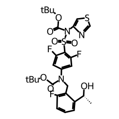 C[C@@H](O)c1cccc(F)c1CN(C(=O)OC(C)(C)C)c1cc(F)c(S(=O)(=O)N(C(=O)OC(C)(C)C)c2cscn2)c(F)c1